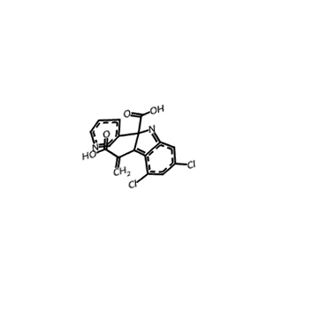 C=C(C(=O)O)C1=c2c(Cl)cc(Cl)cc2=NC1(C(=O)O)c1cccnc1